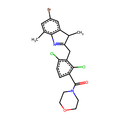 Cc1cc(Br)cc2c1N=C(Cc1c(Cl)ccc(C(=O)N3CCOCC3)c1Cl)C2C